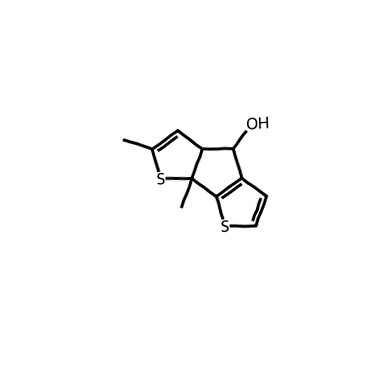 CC1=CC2C(O)c3ccsc3C2(C)S1